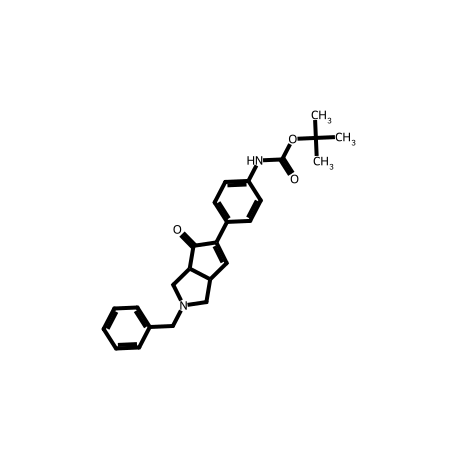 CC(C)(C)OC(=O)Nc1ccc(C2=CC3CN(Cc4ccccc4)CC3C2=O)cc1